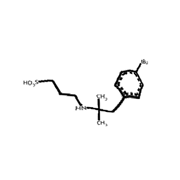 CC(C)(Cc1ccc(C(C)(C)C)cc1)NCCCS(=O)(=O)O